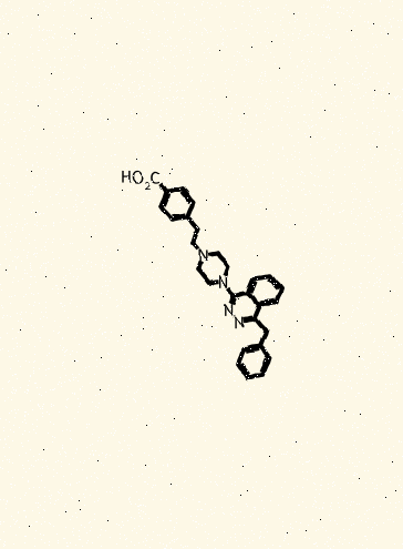 O=C(O)c1ccc(CCN2CCN(c3nnc(Cc4ccccc4)c4ccccc34)CC2)cc1